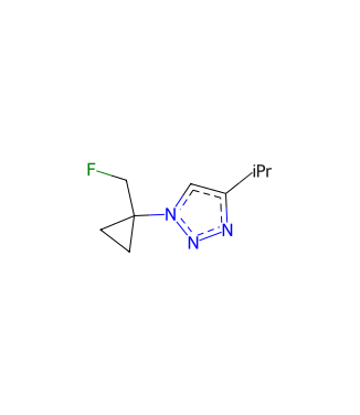 CC(C)c1cn(C2(CF)CC2)nn1